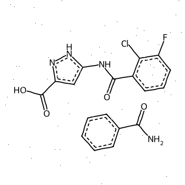 NC(=O)c1ccccc1.O=C(O)c1cc(NC(=O)c2cccc(F)c2Cl)[nH]n1